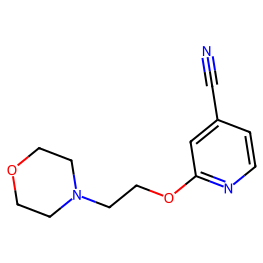 N#Cc1ccnc(OCCN2CCOCC2)c1